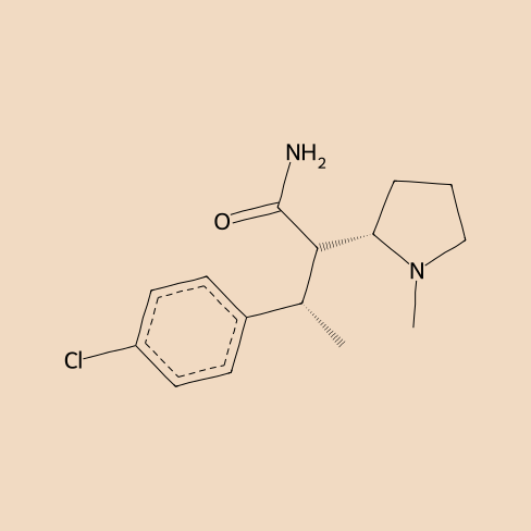 C[C@H](c1ccc(Cl)cc1)C(C(N)=O)[C@@H]1CCCN1C